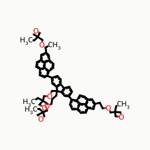 CCC1(COCCCC2(COCC3(CC)COC3)c3cc(-c4ccc5ccc6cc(CCOCC7(CC)COC7)cc7ccc4c5c67)ccc3-c3ccc(-c4ccc5ccc6cc(C(C)OCC7(CC)COC7)cc7ccc4c5c67)cc32)COC1